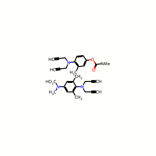 C#CCN(CC#C)c1c(C)cc(N(C)C(=O)O)cc1C.C#CCN(CC#C)c1ccc(OC(=O)NC)cc1C